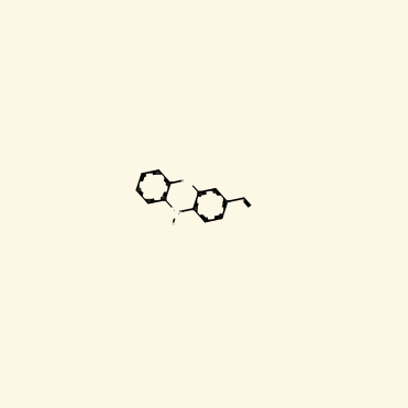 C=Cc1ccc2c(c1)Oc1ccccc1N2C